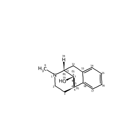 CN1CC[C@]23CCCC[C@@]2(O)[C@H]1Cc1ccccc13